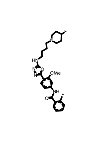 COc1cc(NC(=O)c2ccccc2F)ccc1-c1nnc(NCCCCN2CCC(F)CC2)o1